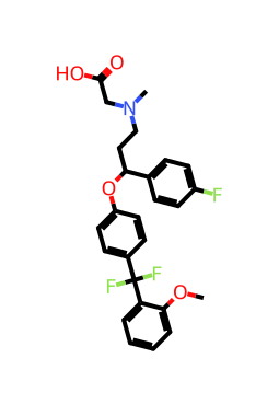 COc1ccccc1C(F)(F)c1ccc(OC(CCN(C)CC(=O)O)c2ccc(F)cc2)cc1